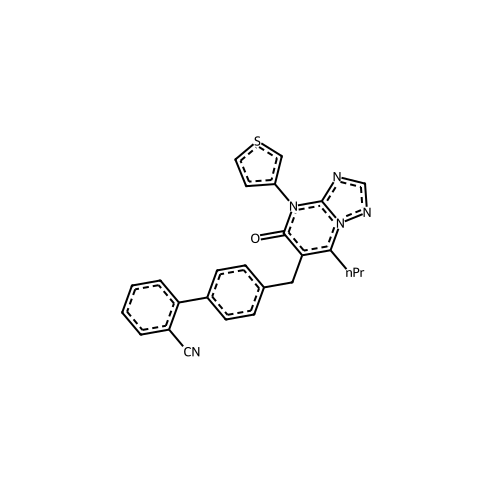 CCCc1c(Cc2ccc(-c3ccccc3C#N)cc2)c(=O)n(-c2ccsc2)c2ncnn12